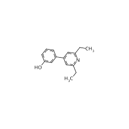 CCc1cc(-c2cccc(O)c2)cc(CC)n1